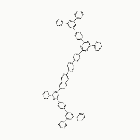 c1ccc(-c2nc(-c3ccc(-c4cc(-c5ccccn5)nc(-c5ccccn5)c4)cc3)cc(-c3ccc4cc(-c5ccc(-c6ccc(-c7nc(-c8ccccc8)nc(-c8ccc(-c9cc(-c%10ccccn%10)nc(-c%10ccccn%10)c9)cc8)n7)cc6)cc5)ccc4c3)n2)cc1